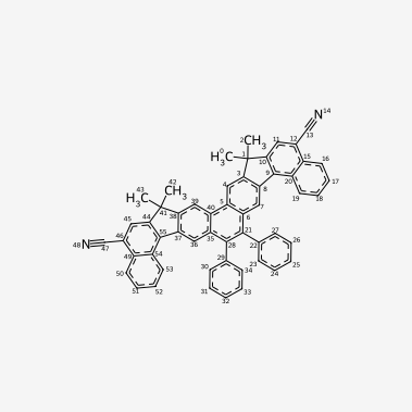 CC1(C)c2cc3c(cc2-c2c1cc(C#N)c1ccccc21)c(-c1ccccc1)c(-c1ccccc1)c1cc2c(cc13)C(C)(C)c1cc(C#N)c3ccccc3c1-2